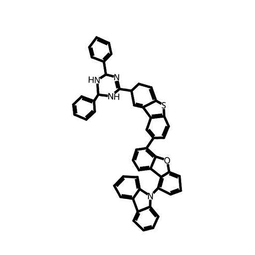 C1=c2sc3ccc(-c4cccc5c4oc4cccc(-n6c7ccccc7c7ccccc76)c45)cc3c2=CC(C2=NC(c3ccccc3)NC(c3ccccc3)N2)C1